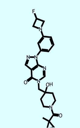 CC1(C(=O)N2CCC(O)(Cn3cnc4c(cnn4-c4cccc(N5CC(F)C5)c4)c3=O)CC2)CC1